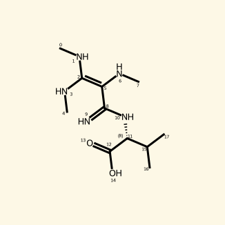 CNC(NC)=C(NC)C(=N)N[C@@H](C(=O)O)C(C)C